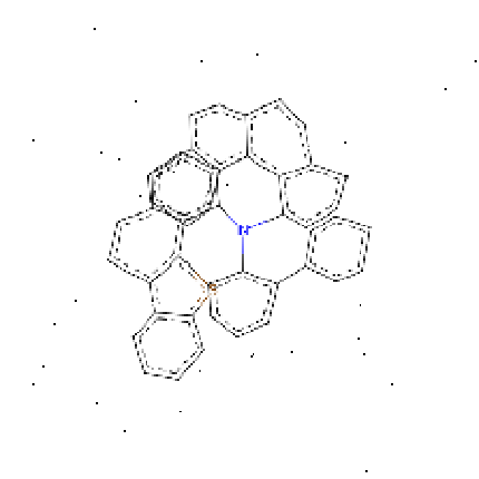 c1ccc(-c2ccccc2N(c2cccc3ccc4c5ccccc5sc4c23)c2cccc3ccc4ccc5ccccc5c4c23)cc1